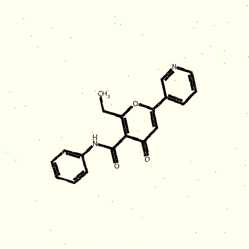 CCc1oc(-c2cccnc2)cc(=O)c1C(=O)Nc1ccccc1